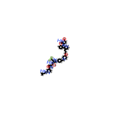 O=C1CCC(n2c3ccccc3c3c(CCCOC4CCN(CC5CCC(n6cc(NC(=O)c7coc(-c8ccnc(NCC9CC9)c8)n7)c(C(F)F)n6)CC5)CC4)ccnc32)C(=O)N1